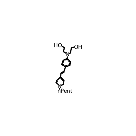 CCCCCN1C=CC(/C=C/c2ccc(N(CCO)CCO)cc2)=CC1